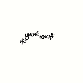 FC(F)(F)Oc1ccc(NC2CCN(C(=S)CCCN3CCN(c4ccc(C(F)(F)F)cc4)CC3)CC2)cc1